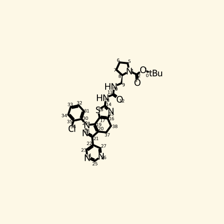 CC(C)(C)OC(=O)N1CCC[C@@H]1CNC(=O)Nc1nc2c(s1)-c1c(c(-c3cncnc3)nn1-c1ccccc1Cl)CC2